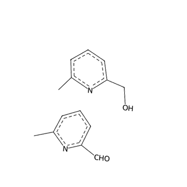 Cc1cccc(C=O)n1.Cc1cccc(CO)n1